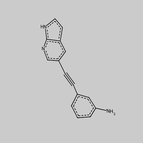 Nc1cccc(C#Cc2cnc3[nH]ccc3c2)c1